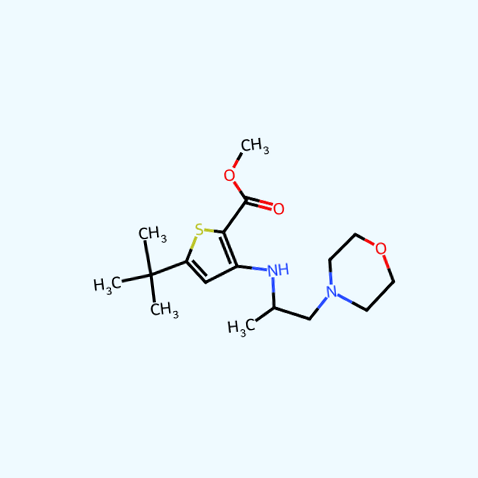 COC(=O)c1sc(C(C)(C)C)cc1NC(C)CN1CCOCC1